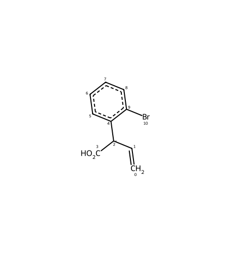 C=C[C](C(=O)O)c1ccccc1Br